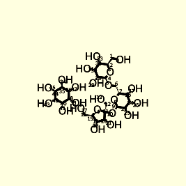 OC[C@H]1O[C@H](OC[C@H]2O[C@H](O[C@]3(CO)O[C@H](CO)[C@@H](O)[C@@H]3O)[C@H](O)[C@@H](O)[C@@H]2O)[C@H](O)[C@@H](O)[C@H]1O.O[C@H]1[C@H](O)[C@@H](O)[C@H](O)[C@@H](O)[C@H]1O